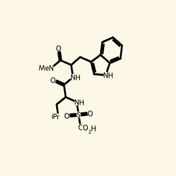 CNC(=O)C(Cc1c[nH]c2ccccc12)NC(=O)C(CC(C)C)NS(=O)(=O)C(=O)O